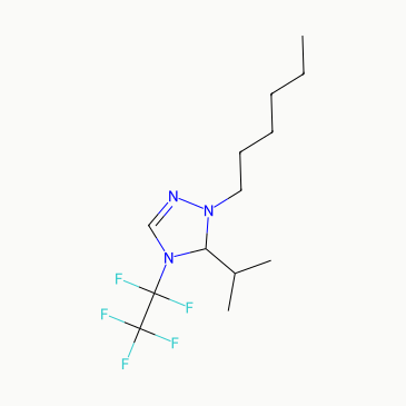 CCCCCCN1N=CN(C(F)(F)C(F)(F)F)C1C(C)C